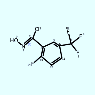 O/N=C(\Cl)c1cc(C(F)(F)F)ccc1F